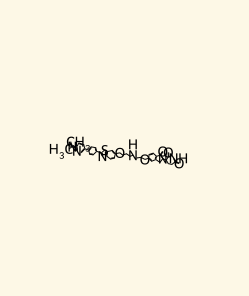 CN(C)c1ccc(-c2ccc(-c3nc4ccc(OCCCNCCOc5ccc6c(c5)CN(C5CCC(=O)NC5=O)C6=O)cc4s3)cc2)cn1